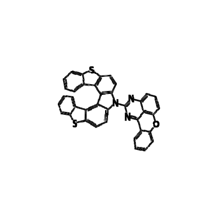 c1ccc2c(c1)Oc1cccc3nc(-n4c5ccc6sc7ccccc7c6c5c5c6c(ccc54)sc4ccccc46)nc-2c13